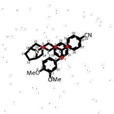 COc1ccc(OC(CCCN2C3CCC2CN(Cc2ccccc2)C3)c2ccc(C#N)cc2)cc1OC